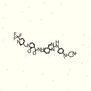 CN1CCC(N(C)c2ccc(Nc3ncc4cc(CNC(=O)c5cccn(Cc6ccc(C(F)(F)F)nc6)c5=O)ccc4n3)cc2)CC1